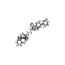 O=C(NCCCCN1CC[C@@H]2c3ccccc3CC[C@H]21)c1ccc(-c2ccccc2)cc1